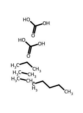 CC.CC.CCC.CCCCC.O=C(O)O.O=C(O)O